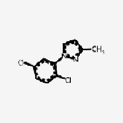 Cc1ccn(-c2cc(Cl)ccc2Cl)n1